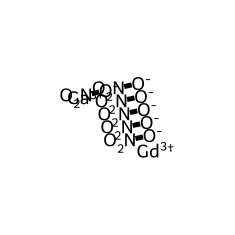 O=[N+]([O-])[O-].O=[N+]([O-])[O-].O=[N+]([O-])[O-].O=[N+]([O-])[O-].O=[N+]([O-])[O-].O=[N+]([O-])[O-].[Ga+3].[Gd+3]